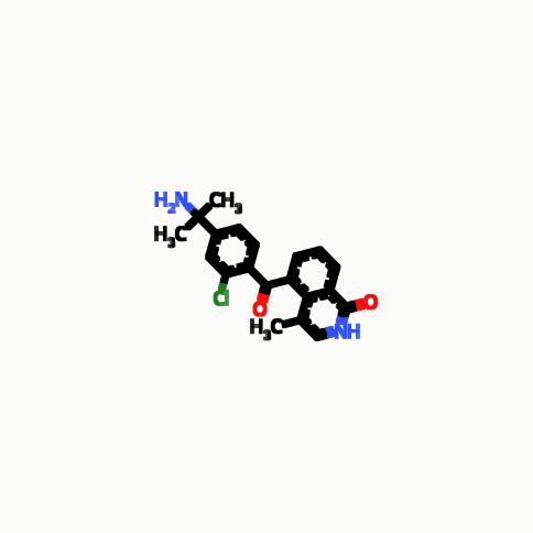 Cc1c[nH]c(=O)c2cccc(C(=O)c3ccc(C(C)(C)N)cc3Cl)c12